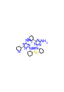 Nc1nc(Nc2ccccc2SSc2ccccc2Nc2nc(N)nc(-c3cccnc3)n2)nc(-c2cccnc2)n1